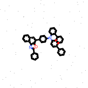 c1ccc(-c2ccc(N(c3ccc(-c4cc5ccccc5c5nc(-c6ccccc6)oc45)cc3)c3ccccc3-c3ccccc3)cc2)cc1